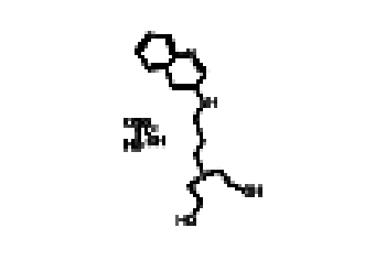 O=[N+]([O-])O.O=[N+]([O-])O.OCCN(CCO)CCCNc1cnc2ccccc2c1